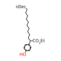 CCCCCCCCCCCCCCCCCCCCC(C(=O)OCC)c1ccc(O)cc1